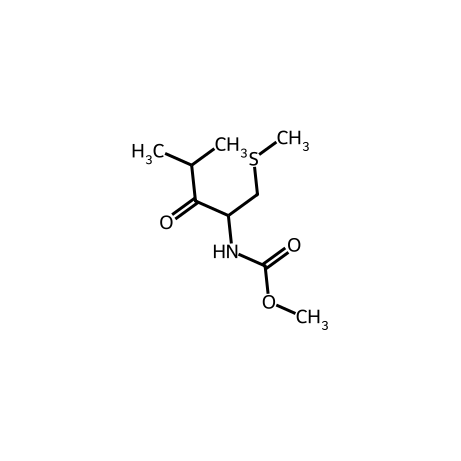 COC(=O)NC(CSC)C(=O)C(C)C